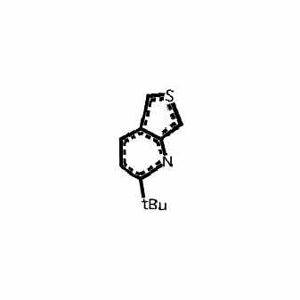 CC(C)(C)c1ccc2cscc2n1